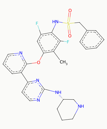 Cc1c(Oc2ncccc2-c2ccnc(N[C@H]3CCCNC3)n2)cc(F)c(NS(=O)(=O)Cc2ccccc2)c1F